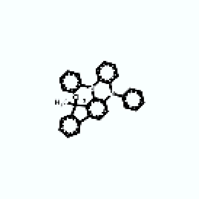 CC1(C)c2ccccc2-c2ccc3c(c21)N(c1ccccc1)c1ccccc1N3c1ccccc1